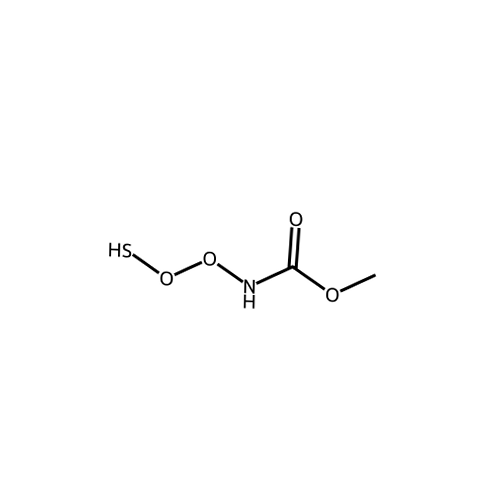 COC(=O)NOOS